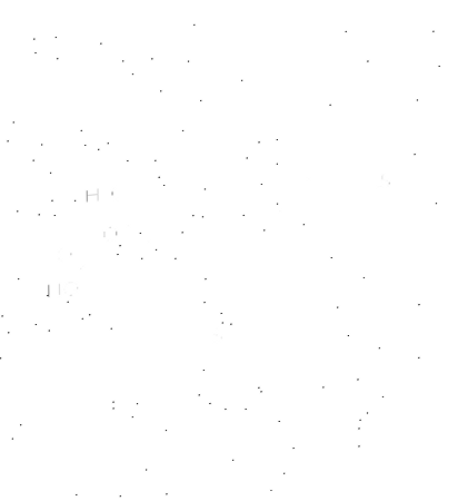 Cc1cc(CCC=C(c2ccc(-c3ccsc3)cc2)c2ccc(-c3ccsc3)cc2)ccc1OCC(=O)O